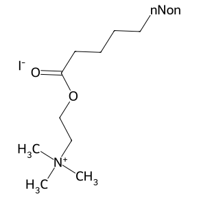 CCCCCCCCCCCCCC(=O)OCC[N+](C)(C)C.[I-]